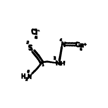 NC(=S)N[N]=[Ga+].[Cl-]